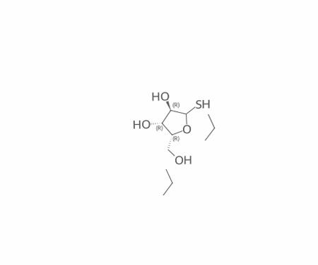 CCC.CCC.OC[C@H]1OC(S)[C@H](O)[C@H]1O